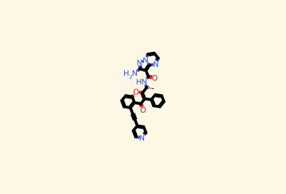 C[C@@H](NC(=O)c1c(N)nn2cccnc12)c1oc2cccc(C#Cc3ccncc3)c2c(=O)c1-c1ccccc1